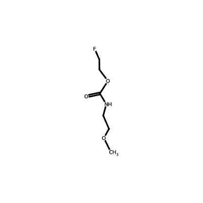 COCCNC(=O)OCCF